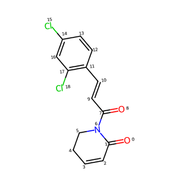 O=C1C=CCCN1C(=O)C=Cc1ccc(Cl)cc1Cl